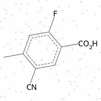 Cc1cc(F)c(C(=O)O)cc1C#N